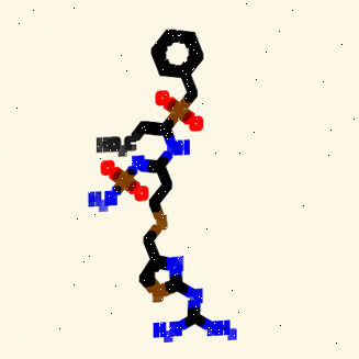 NC(N)=Nc1nc(CSCCC(=NS(N)(=O)=O)NC(=CC(=O)O)S(=O)(=O)Cc2ccccc2)cs1